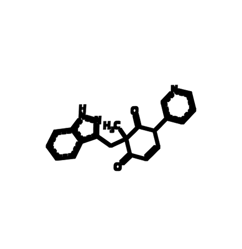 CC1(Cc2n[nH]c3ccccc23)C(=O)C=CC(c2cccnc2)C1=O